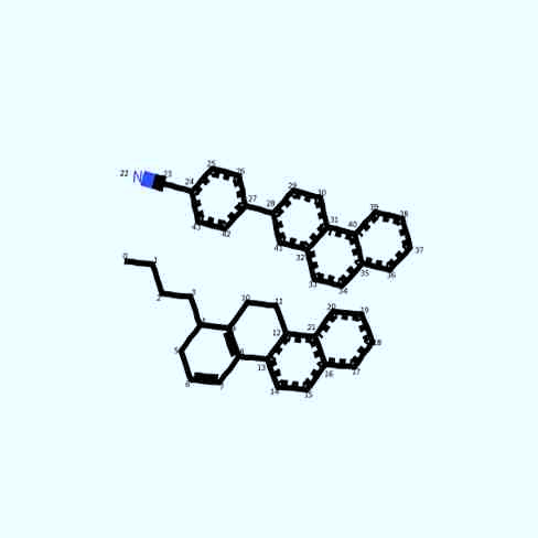 CCCCC1CC=CC2=C1CCc1c2ccc2ccccc12.N#Cc1ccc(-c2ccc3c(ccc4ccccc43)c2)cc1